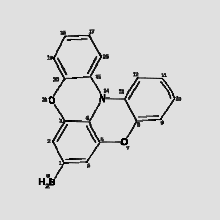 Bc1cc2c3c(c1)Oc1ccccc1N3c1ccccc1O2